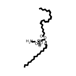 CCCCC/C=C\C/C=C\C/C=C\C/C=C\CCCCCC(=O)O[C@H](CO/C=C\CCCCCCCCCCCCCC)COP(=O)(O)OCCN